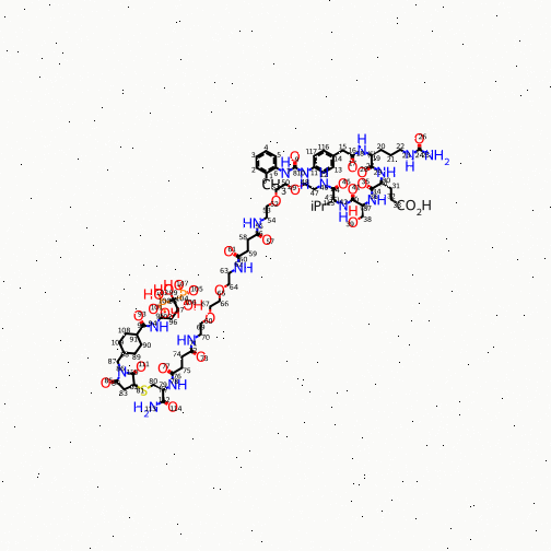 Cc1ccccc1NC(=O)Nc1ccc(CC(=O)N[C@@H](CCCNC(N)=O)C(=O)N[C@@H](CCC(=O)O)C(=O)N[C@@H](CO)C(=O)N[C@H](C(=O)NCCOCCOCCNC(=O)CCC(=O)NCCOCCOCCNC(=O)CCC(=O)N[C@H](CSC2CC(=O)N(CC3CCC(C(=O)NCCCC(O)(P(=O)(O)O)P(=O)(O)O)CC3)C2=O)C(N)=O)C(C)C)cc1